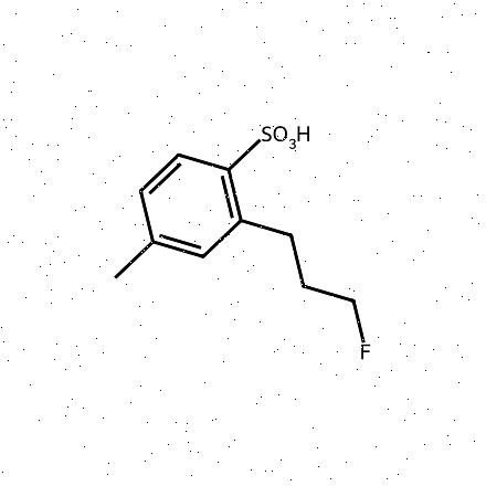 Cc1ccc(S(=O)(=O)O)c(CCCF)c1